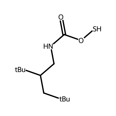 CC(C)(C)CC(CNC(=O)OS)C(C)(C)C